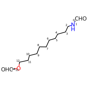 O=CNCCCCCCCCCCCOC=O